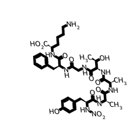 C[C@H](NC(=O)[C@H](C)NC(=O)[C@H](Cc1ccc(O)cc1)N[N+](=O)[O-])C(=O)N[C@H](C(=O)NCC(=O)N[C@@H](Cc1ccccc1)C(=O)N[C@@H](CCCCN)C(=O)O)[C@@H](C)O